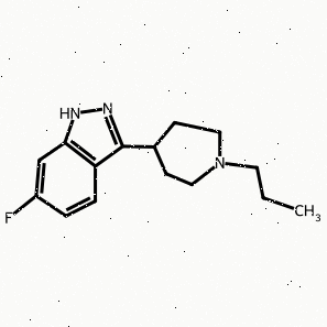 CCCN1CCC(c2n[nH]c3cc(F)ccc23)CC1